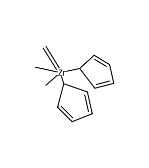 [CH2]=[Zr]([CH3])([CH3])([CH]1C=CC=C1)[CH]1C=CC=C1